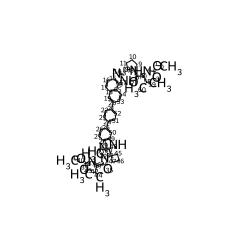 COC(=O)N[C@H](C(=O)N1CCC[C@H]1c1nc2ccc3cc(-c4ccc(-c5ccc6nc(C7(N(C)C(=O)[C@@H](NC(=O)OC)C(C)C)CCC7)[nH]c6c5)cc4)ccc3c2[nH]1)C(C)C